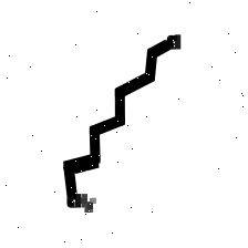 [CH2]C=CCCCCCCl